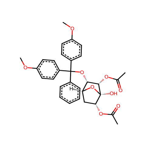 COc1ccc(C(O[C@H]2[C@@H]3C[C@@H](OC(C)=O)[C@@](O)(O3)[C@H]2OC(C)=O)(c2ccccc2)c2ccc(OC)cc2)cc1